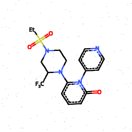 CCS(=O)(=O)N1CCN(c2cccc(=O)n2-c2ccncc2)C(C(F)(F)F)C1